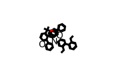 CCc1ccccc1-c1ccc(N(c2cccc3c2oc2ccccc23)c2cccc3oc4ccc5c(c4c23)-c2ccccc2C5(C)C)cc1CC